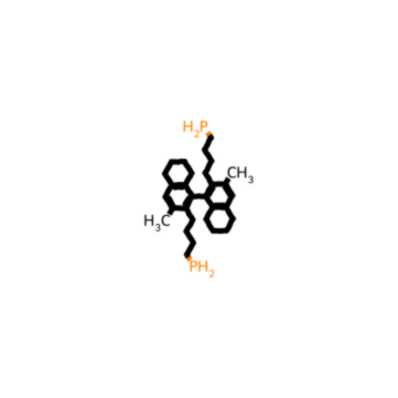 Cc1cc2c(c(-c3c(CCCCP)c(C)cc4c3CCCC4)c1CCCCP)CCCC2